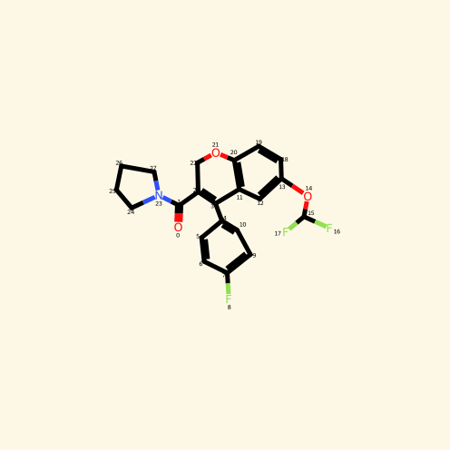 O=C(C1=C(c2ccc(F)cc2)c2cc(OC(F)F)ccc2OC1)N1CCCC1